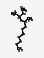 CCCCCCCC(C)CC(C)CC